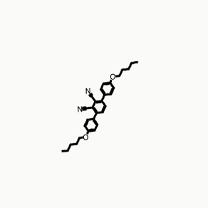 CCCCCOc1ccc(-c2ccc(-c3ccc(OCCCCC)cc3)c(C#N)c2C#N)cc1